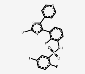 O=S(=O)(Nc1cccc(-c2nc(Br)sc2-c2ccncc2)c1F)c1cc(F)ccc1F